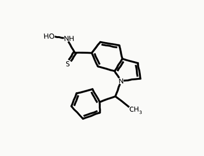 CC(c1ccccc1)n1ccc2ccc(C(=S)NO)cc21